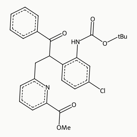 COC(=O)c1cccc(CC(C(=O)c2ccccc2)c2ccc(Cl)cc2NC(=O)OC(C)(C)C)n1